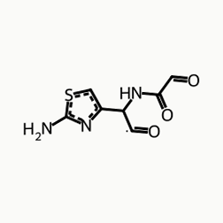 Nc1nc(C([C]=O)NC(=O)C=O)cs1